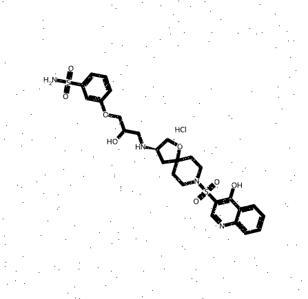 Cl.NS(=O)(=O)c1cccc(OCC(O)CN[C@H]2COC3(CCN(S(=O)(=O)c4cnc5ccccc5c4O)CC3)C2)c1